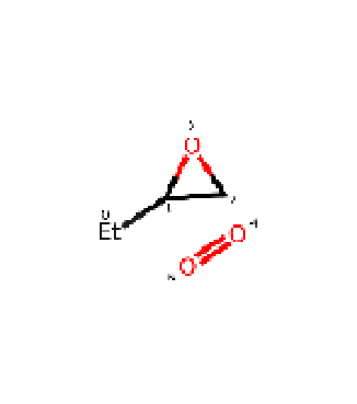 CCC1CO1.O=O